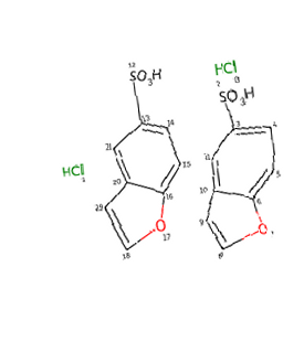 Cl.Cl.O=S(=O)(O)c1ccc2occc2c1.O=S(=O)(O)c1ccc2occc2c1